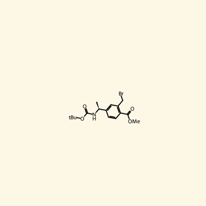 COC(=O)c1ccc([C@H](C)NC(=O)OC(C)(C)C)cc1CBr